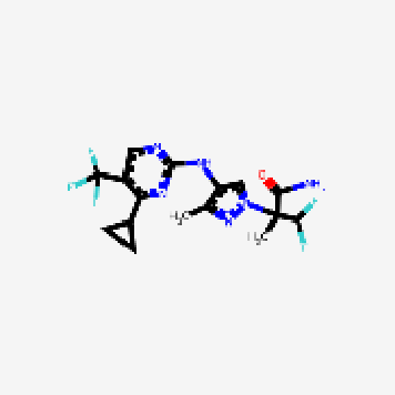 Cc1nn(C(C)(C(N)=O)C(F)F)cc1Nc1ncc(C(F)(F)F)c(C2CC2)n1